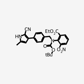 CCOC(=O)c1cccc([N+](=O)[O-])c1N(Cc1ccc(-c2cc(C)[nH]c2C#N)cc1)C(=O)OC(C)(C)C